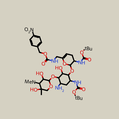 CNC1C(O)C(OC2C(N)CC(NC(=O)OC(C)(C)C)C(OC3OC(CNC(=O)OCc4ccc([N+](=O)[O-])cc4)=CCC3NC(=O)OC(C)(C)C)C2O)OCC1(C)O